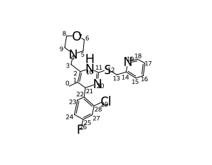 CC1=C(CN2CCOCC2)NC(SCc2ccccn2)=NC1c1ccc(F)cc1Cl